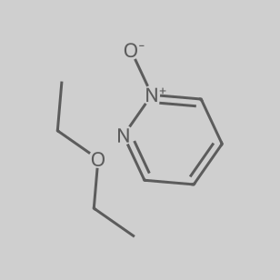 CCOCC.[O-][n+]1ccccn1